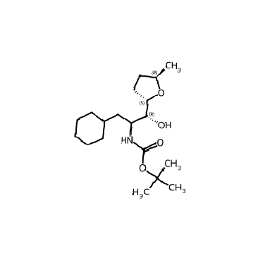 C[C@@H]1CC[C@@H]([C@H](O)C(CC2CCCCC2)NC(=O)OC(C)(C)C)O1